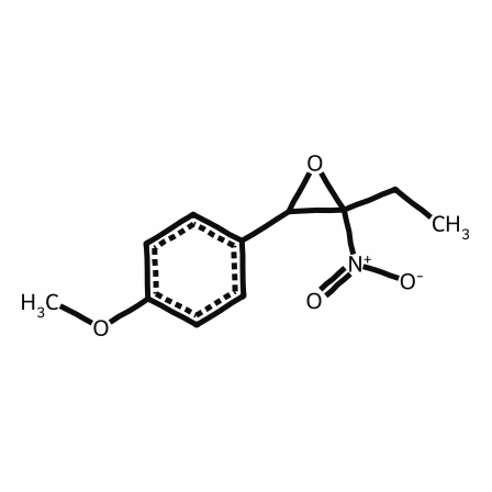 CCC1([N+](=O)[O-])OC1c1ccc(OC)cc1